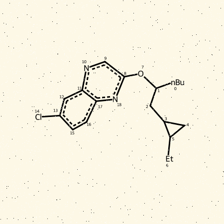 CCCCC(CC1CC1CC)Oc1cnc2cc(Cl)ccc2n1